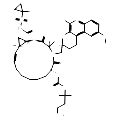 COCCC(C)(C)OC(=O)N[C@H]1CCCCC/C=C\[C@@H]2C[C@@]2(C(=O)NS(=O)(=O)C2(C)CC2)NC(=O)[C@@H]2C[C@]3(CCc4c(c(C)nc5ccc(OC(F)(F)F)cc45)O3)CN2C1=O